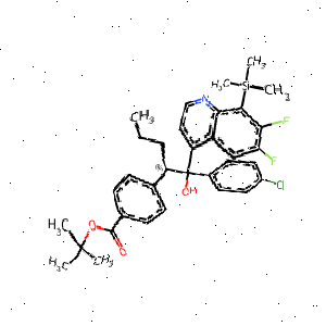 CCC[C@H](c1ccc(C(=O)OC(C)(C)C)cc1)C(O)(c1ccc(Cl)cc1)c1ccnc2c([Si](C)(C)C)c(F)c(F)cc12